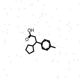 Cc1ccc(C(CC(=O)O)C2CCCC2)cc1